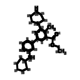 CCOC(=O)c1cc(-c2ccnc(NC3CCCCC3)c2)nc(N2CCNCC2)c1C